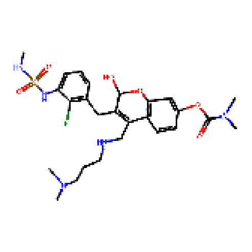 CNS(=O)(=O)Nc1cccc(CC2=C(CNCCCN(C)C)c3ccc(OC(=O)N(C)C)cc3OC2O)c1F